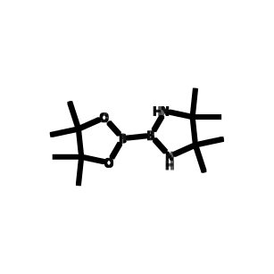 CC1(C)NB(B2OC(C)(C)C(C)(C)O2)NC1(C)C